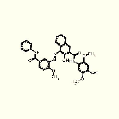 COc1cc(NC(=O)c2cc3ccccc3c(N=Nc3cc(C(=O)Nc4ccccc4)ccc3OC)c2O)c(OC)cc1CI